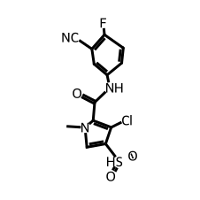 Cn1cc([SH](=O)=O)c(Cl)c1C(=O)Nc1ccc(F)c(C#N)c1